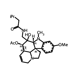 CC[C@]12C=CCN3CC[C@@]4(c5ccc(OC)cc5N(C)[C@H]4C(O)(CNC(=O)CC(C)C)[C@@H]1OC(C)=O)C32